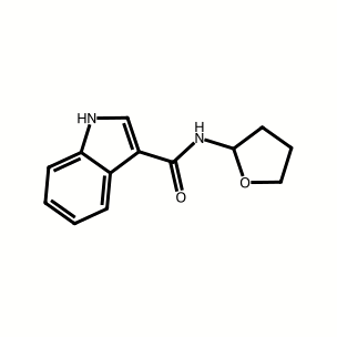 O=C(NC1CCCO1)c1c[nH]c2ccccc12